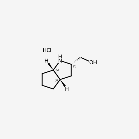 Cl.OC[C@@H]1C[C@@H]2CCC[C@@H]2N1